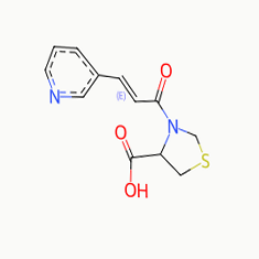 O=C(O)C1CSCN1C(=O)/C=C/c1cccnc1